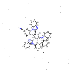 N#Cc1cccc(-n2c(-c3cc(-c4nc5ccccc5n4-c4ccccc4)cc(-n4c5ccccc5c5ccccc54)c3)nc3ccccc32)c1